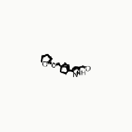 O=Cc1cc(C23CCC(COC4CCCCO4)(CC2)C3)n[nH]1